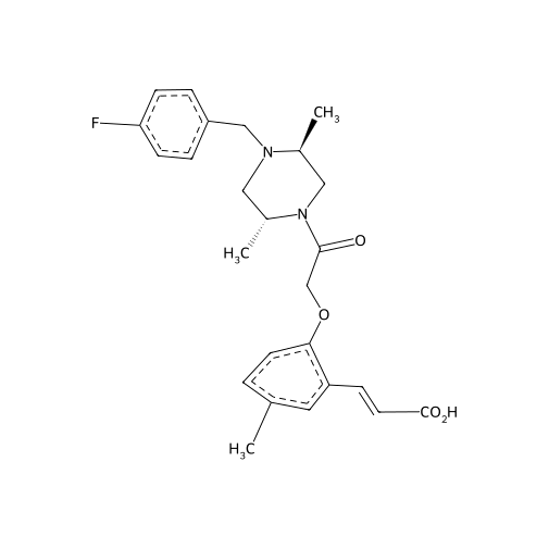 Cc1ccc(OCC(=O)N2C[C@H](C)N(Cc3ccc(F)cc3)C[C@H]2C)c(C=CC(=O)O)c1